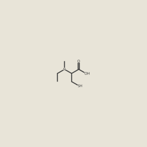 CCN(C)C(CS)C(=O)O